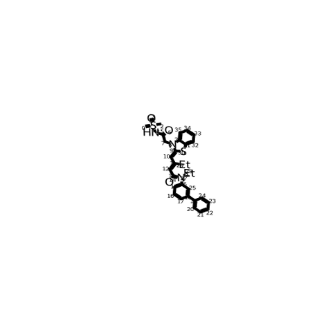 C=S(C)(=O)NC(=O)CN1/C(=C/C(=C/c2oc3ccc(-c4ccccc4)cc3[n+]2CC)CC)Sc2ccccc21